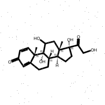 C[C@]12C=CC(=O)C=C1CC[C@H]1[C@@H]3CC[C@](O)(C(=O)CO)[C@@]3(C)CC(O)[C@@]12O